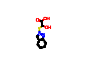 O=C(O)C(O)Sn1cc2ccccc2n1